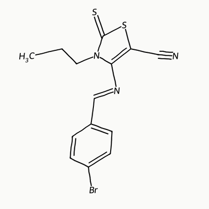 CCCn1c(N=Cc2ccc(Br)cc2)c(C#N)sc1=S